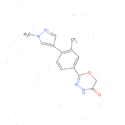 Cn1cc(-c2ccc(C3=NNC(=O)CO3)cc2C(F)(F)F)cn1